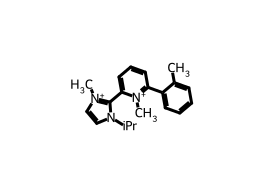 Cc1ccccc1-c1cccc(-c2n(C(C)C)cc[n+]2C)[n+]1C